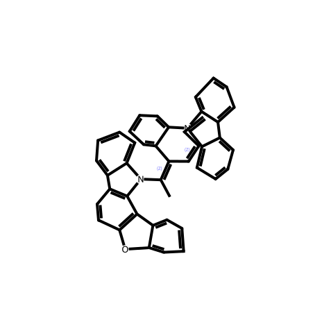 C=C/C=C\C(=C(/C)n1c2ccccc2c2ccc3oc4ccccc4c3c21)c1ccccc1-n1c2ccccc2c2ccccc21